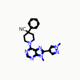 Cn1cc(-c2nc3c(N4CCC(C#N)(c5ccccc5)CC4)ncnc3n2C)cn1